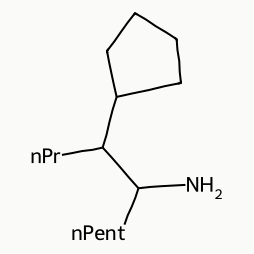 CCCCCC(N)C(CCC)C1CCCC1